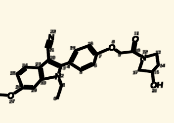 CCn1c(-c2ccc(OCC(=O)N3CCC(O)C3)cc2)c(C#N)c2ccc(OC)cc21